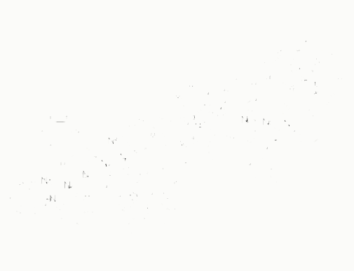 c1ccc(-c2cc(-n3c4ccccc4c4cc([Si](c5ccccc5)(c5ccccc5)c5ccccc5)ccc43)nc(-n3c4ccccc4c4cc([Si](c5ccccc5)(c5ccccc5)c5ccc(-c6ccc7nc8n(-c9cc(-c%10ccccc%10)cc(-n%10c%11ccccc%11n%11c%12ccccc%12nc%10%11)n9)c9ccc([Si](c%10ccccc%10)(c%10ccccc%10)c%10ccccc%10)cc9n8c7c6)cc5)ccc43)c2)cc1